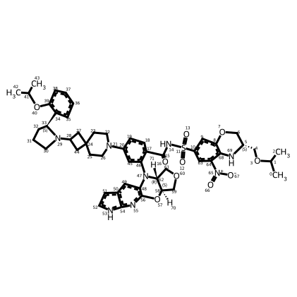 CC(C)OC[C@H]1COc2cc(S(=O)(=O)NC(=O)c3ccc(N4CCC5(CC4)CC(N4CCC[C@H]4c4ccccc4OC(C)C)C5)cc3N3c4cc5cc[nH]c5nc4O[C@@H]4COC[C@H]43)cc([N+](=O)[O-])c2N1